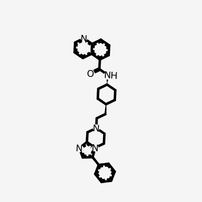 O=C(N[C@H]1CC[C@H](CCN2CCn3c(-c4ccccc4)cnc3C2)CC1)c1cccc2ncccc12